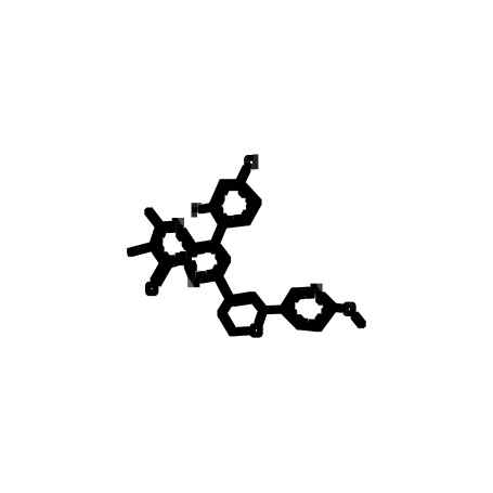 COc1ccc(C2C=C(c3cc(-c4ccc(Cl)cc4F)c4nc(C)c(C)c(=O)n4n3)CCO2)cn1